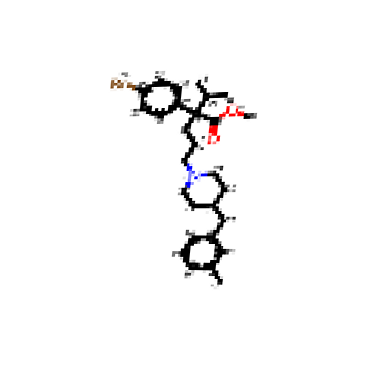 COC(=O)C(CCCN1CCC(Cc2cccc(C)c2)CC1)(c1ccc(Br)cc1)C(C)C